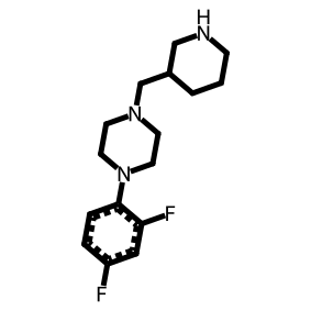 Fc1ccc(N2CCN(CC3CCCNC3)CC2)c(F)c1